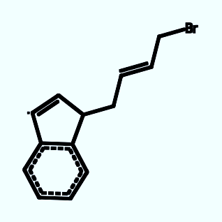 BrCC=CCC1C=[C]c2ccccc21